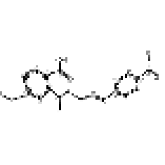 CCc1ccc(C(=O)O)c(C(C)CCC=Cc2ccc(C(C)C)cc2)c1